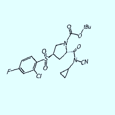 CC(C)(C)OC(=O)N1C[C@H](S(=O)(=O)c2ccc(F)cc2Cl)C[C@H]1C(=O)N(C#N)C1CC1